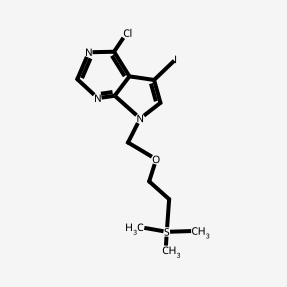 CS(C)(C)CCOCn1cc(I)c2c(Cl)ncnc21